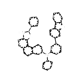 c1ccc(C2Nc3ccc4ccc5cc(N(c6ccccc6)c6cccc(-c7ccc8c(c7)oc7ccccc78)c6)ccc5c4c3S2)cc1